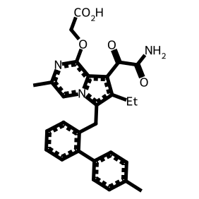 CCc1c(C(=O)C(N)=O)c2c(OCC(=O)O)nc(C)cn2c1Cc1ccccc1-c1ccc(C)cc1